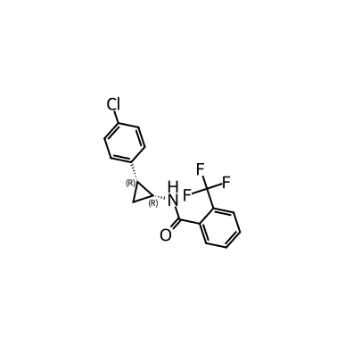 O=C(N[C@@H]1C[C@@H]1c1ccc(Cl)cc1)c1ccccc1C(F)(F)F